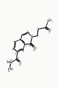 NC(=O)CCn1ccc2ccc(C(=O)NO)cc2c1=O